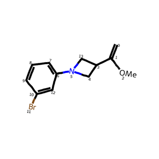 C=C(OC)C1CN(c2cccc(Br)c2)C1